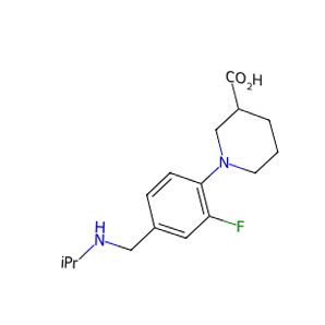 CC(C)NCc1ccc(N2CCCC(C(=O)O)C2)c(F)c1